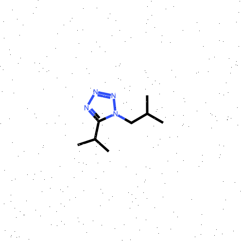 CC(C)Cn1nnnc1C(C)C